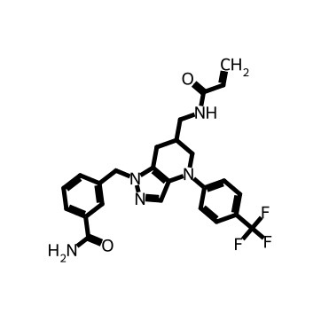 C=CC(=O)NCC1Cc2c(cnn2Cc2cccc(C(N)=O)c2)N(c2ccc(C(F)(F)F)cc2)C1